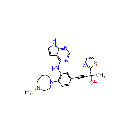 CN1CCCN(c2ccc(C#CC(C)(O)c3nccs3)cc2Nc2ncnc3[nH]ccc23)CC1